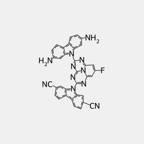 N#Cc1ccc2c3ccc(C#N)cc3n(C3=NC4=CC(F)=CC5=NC(n6c7cc(N)ccc7c7ccc(N)cc76)=NC(=N3)N45)c2c1